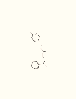 CC(=NNC(=O)NOc1ccc(Cl)cc1)c1ccccc1